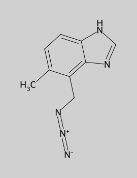 Cc1ccc2[nH]cnc2c1CN=[N+]=[N-]